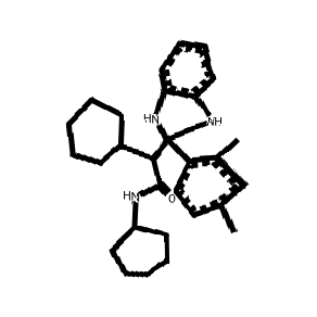 Cc1ccc(C2(C(C(=O)NC3CCCCC3)C3CCCCC3)Nc3ccccc3N2)c(C)c1